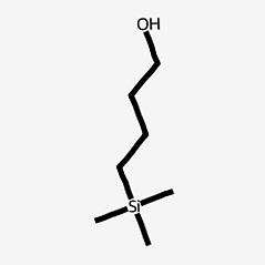 C[Si](C)(C)CCCCO